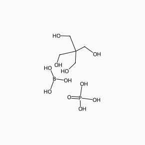 O=P(O)(O)O.OB(O)O.OCC(CO)(CO)CO